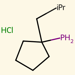 CC(C)CC1(P)CCCC1.Cl